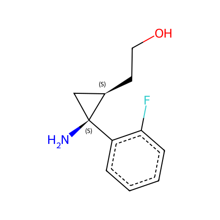 N[C@@]1(c2ccccc2F)C[C@H]1CCO